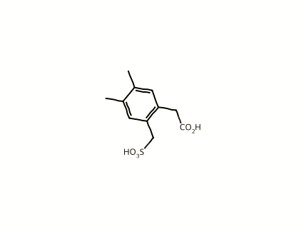 Cc1cc(CC(=O)O)c(CS(=O)(=O)O)cc1C